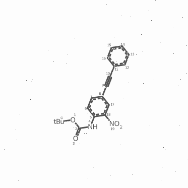 CC(C)(C)OC(=O)Nc1ccc(C#Cc2ccccc2)cc1[N+](=O)[O-]